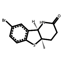 C[C@@]12CCC(=O)N[C@@H]1c1cc(Br)ccc1S2